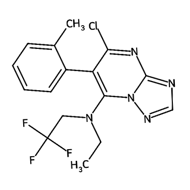 CCN(CC(F)(F)F)c1c(-c2ccccc2C)c(Cl)nc2ncnn12